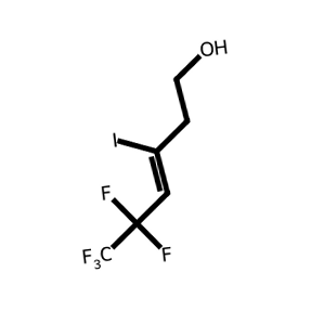 OCCC(I)=CC(F)(F)C(F)(F)F